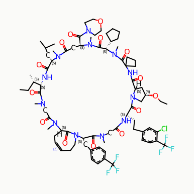 CCO[C@@H]1C[C@H]2C(=O)NC3(CCC3)C(=O)N(C)[C@@H](C3CCCC3)C(=O)N(C)[C@H](C(=O)N3CCOCC3)CC(=O)N(C)[C@@H](CC(C)C)C(=O)N[C@@H]([C@@H](C)CC)C(=O)N(C)CC(=O)N(C)[C@H]3C/C=C\CCN(C3=O)[C@@H](Cc3ccc(C(F)(F)F)cc3)C(=O)N(C)CC(=O)N[C@@H](CCc3ccc(C(F)(F)F)c(Cl)c3)C(=O)N2C1